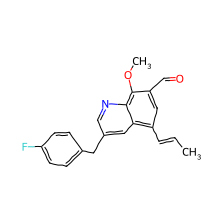 C/C=C/c1cc(C=O)c(OC)c2ncc(Cc3ccc(F)cc3)cc12